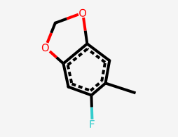 Cc1cc2c(cc1F)OCO2